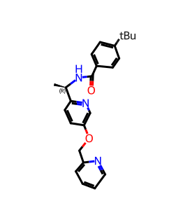 C[C@@H](NC(=O)c1ccc(C(C)(C)C)cc1)c1ccc(OCc2ccccn2)cn1